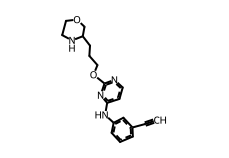 C#Cc1cccc(Nc2ccnc(OCCCC3COCCN3)n2)c1